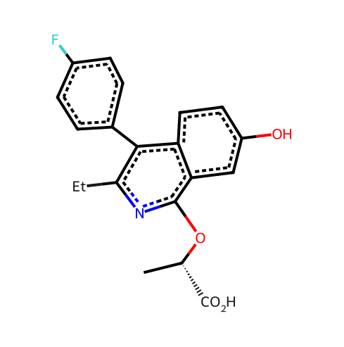 CCc1nc(O[C@@H](C)C(=O)O)c2cc(O)ccc2c1-c1ccc(F)cc1